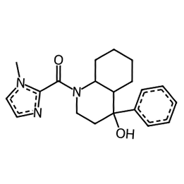 Cn1ccnc1C(=O)N1CCC(O)(c2ccccc2)C2CCCCC21